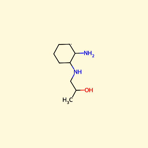 CC(O)CNC1CCC[CH]C1N